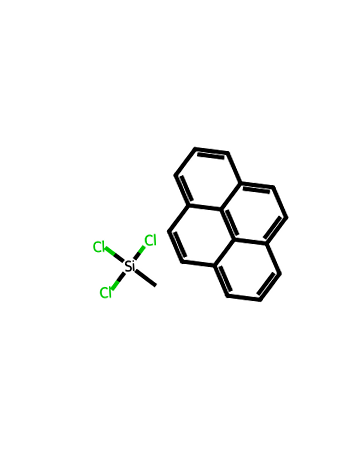 C[Si](Cl)(Cl)Cl.c1cc2ccc3cccc4ccc(c1)c2c34